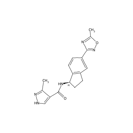 Cc1nc(-c2ccc3c(c2)CC[C@H]3NC(=O)c2c[nH]nc2C)no1